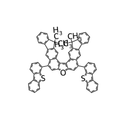 CC1(C)c2ccccc2-c2cc3c(-c4cccc5c4sc4ccccc45)cc4oc5cc(-c6cccc7c6sc6ccccc67)c6cc7c(cc6c5c4c3cc21)C(C)(C)c1ccccc1-7